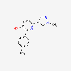 Bc1ccc(-c2nc(C3C=NN(C)C3)ccc2O)cc1